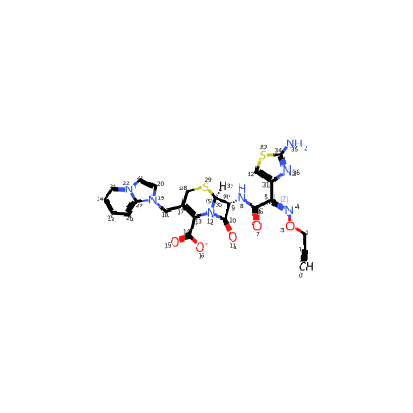 C#CCO/N=C(\C(=O)N[C@@H]1C(=O)N2C(C(=O)[O-])=C(Cn3cc[n+]4ccccc34)CS[C@@H]12)c1csc(N)n1